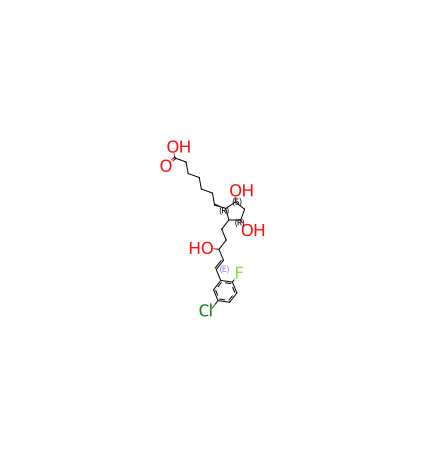 O=C(O)CCCCCC[C@@H]1C(CCC(O)/C=C/c2cc(Cl)ccc2F)[C@H](O)C[C@@H]1O